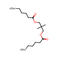 CCCCCCCCCCCCCCC(=O)OCC(C)(C)COC(=O)CCCCCCCCCCCCCC